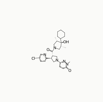 C[C@@H]1CN(C(=O)[C@@H]2CN(c3ccc(=O)n(C)n3)C[C@H]2c2ccc(Cl)cn2)C[C@H](C)[C@]1(O)C1CCCCC1